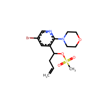 C=CCC(OS(C)(=O)=O)c1cc(Br)cnc1N1CCOCC1